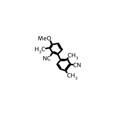 COc1ccc(-c2ccc(C)c(C#N)c2C)c(C#N)c1C